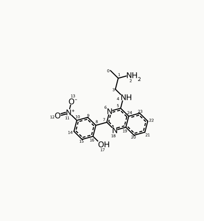 CC(N)CNc1nc(-c2cc([N+](=O)[O-])ccc2O)nc2ccccc12